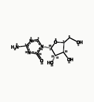 Nc1ncn([C@@H]2OC(CO)C(O)[C@@H]2O)c(=O)n1